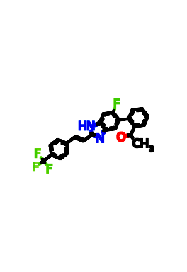 CC(=O)c1ccccc1-c1cc2nc(C=Cc3ccc(C(F)(F)F)cc3)[nH]c2cc1F